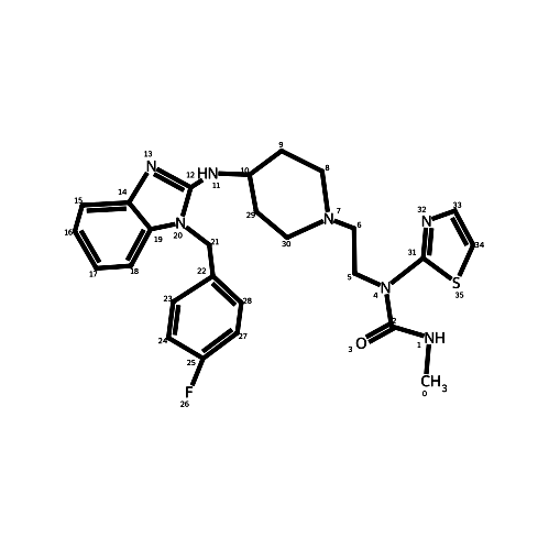 CNC(=O)N(CCN1CCC(Nc2nc3ccccc3n2Cc2ccc(F)cc2)CC1)c1nccs1